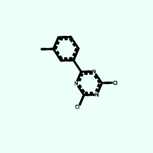 Cc1cccc(-c2nc(Cl)nc(Cl)n2)c1